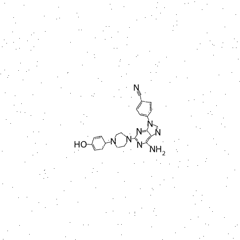 N#Cc1ccc(-n2cnc3c(N)nc(N4CCN(C5C=CC(O)=CC5)CC4)nc32)cc1